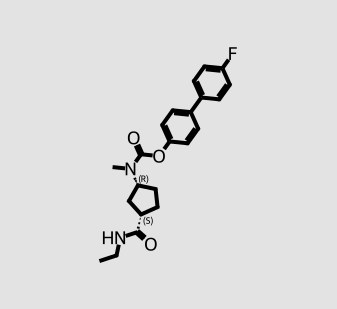 CCNC(=O)[C@H]1CC[C@@H](N(C)C(=O)Oc2ccc(-c3ccc(F)cc3)cc2)C1